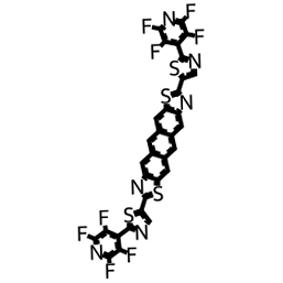 Fc1nc(F)c(F)c(-c2ncc(-c3nc4cc5cc6cc7sc(-c8cnc(-c9c(F)c(F)nc(F)c9F)s8)nc7cc6cc5cc4s3)s2)c1F